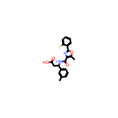 Cc1cccc(C(CC(=O)O)NC(=O)c2nc(-c3ccccc3F)oc2C)c1